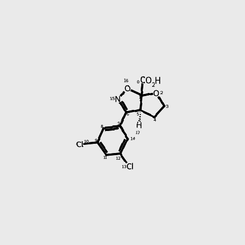 O=C(O)C12OCC[C@H]1C(c1cc(Cl)cc(Cl)c1)=NO2